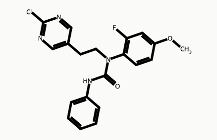 COc1ccc(N(CCc2cnc(Cl)nc2)C(=O)Nc2ccccc2)c(F)c1